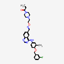 C=CC(=O)N1CCN(CCO/N=C/c2ccc3ncnc(Nc4ccc(OCc5cccc(F)c5)c(C)c4)c3c2)CC1